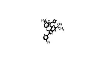 CC(C)c1ccnc(-c2nc3nc(C(C)O)nc(N[C@H](C)C4CCC4)c3n2C[C@H]2CC[C@H](C)CC2)c1